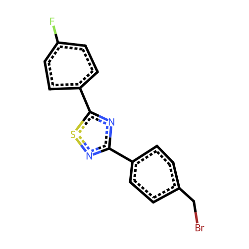 Fc1ccc(-c2nc(-c3ccc(CBr)cc3)ns2)cc1